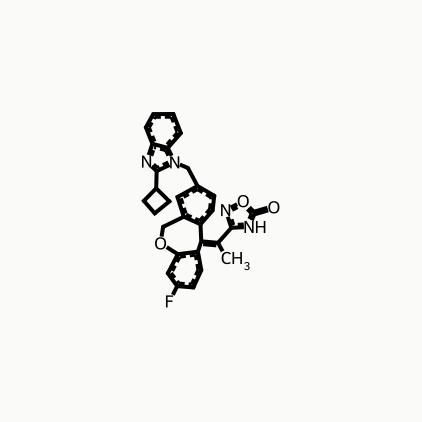 C/C(=C1/c2ccc(Cn3c(C4CCC4)nc4ccccc43)cc2COc2cc(F)ccc21)c1noc(=O)[nH]1